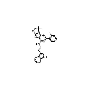 CC1(C)COc2nc3c(NCCc4c[nH]c5ccccc45)nc(-c4ccccc4F)nc3n21